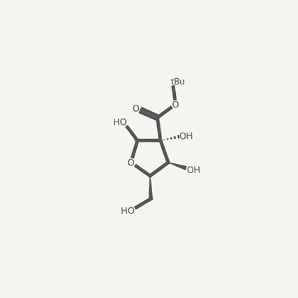 CC(C)(C)OC(=O)[C@]1(O)[C](O)O[C@H](CO)[C@@H]1O